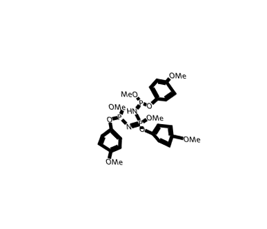 COc1ccc(OP(N=P(NP(OC)Oc2ccc(OC)cc2)(OC)Oc2ccc(OC)cc2)OC)cc1